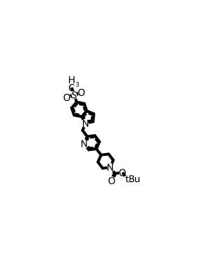 CC(C)(C)OC(=O)N1CCC(c2ccc(Cn3ccc4cc(S(C)(=O)=O)ccc43)nc2)CC1